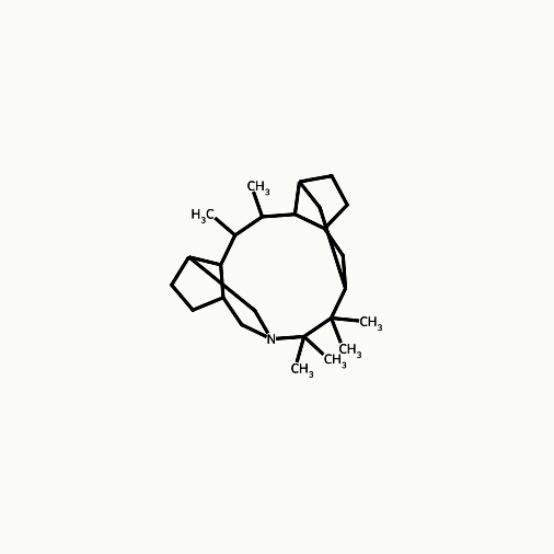 CC1C(C)C2C3CCC2CN(C3)C(C)(C)C(C)(C)C2CC3CCC(C2)C31